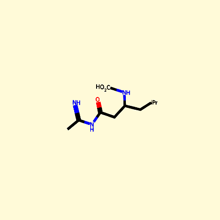 CC(=N)NC(=O)CC(CC(C)C)NC(=O)O